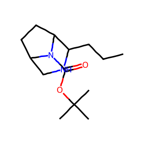 CCCC1NCC2CCC1N2C(=O)OC(C)(C)C